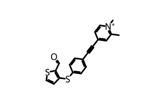 Cc1cc(C#Cc2ccc(Sc3ccsc3C=O)cc2)cc[n+]1C